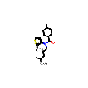 COC(C)CCCN(C(=O)C1CCC(C)CC1)c1ccsc1C(=O)O